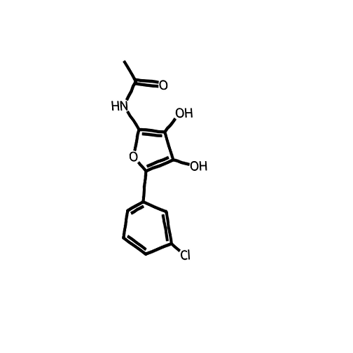 CC(=O)Nc1oc(-c2cccc(Cl)c2)c(O)c1O